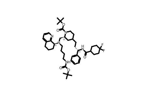 CC(C)(C)OC(=O)NCCCCN(C[C@@H]1CC(CC[C@H](NC(=O)C2CCC(F)(F)CC2)c2ccccc2)CCN1C(=O)OC(C)(C)C)[C@H]1CCCc2cccnc21